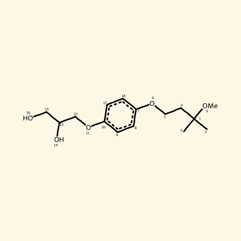 COC(C)(C)CCOc1ccc(OCC(O)CO)cc1